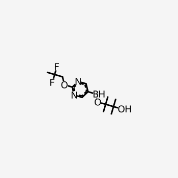 CC(F)(F)COc1ncc(BOC(C)(C)C(C)(C)O)cn1